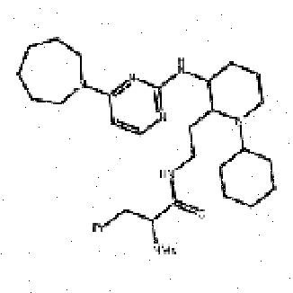 CN[C@@H](CC(C)C)C(=O)NCCC1C(Nc2nccc(N3CCCCCC3)n2)CCCN1C1CCCCC1